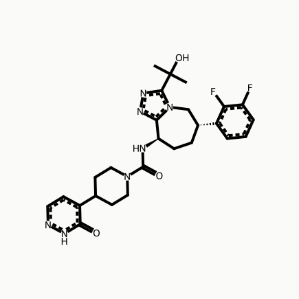 CC(C)(O)c1nnc2n1C[C@H](c1cccc(F)c1F)CC[C@H]2NC(=O)N1CCC(c2ccn[nH]c2=O)CC1